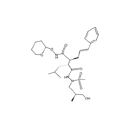 CC(C)C[C@@H](C(=O)NN(C[C@H](C)CO)S(C)(=O)=O)[C@H](CC=Cc1ccccc1)C(=O)NOC1CCCCO1